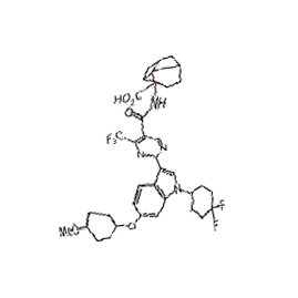 COC1CCC(Oc2ccc3c(-c4ncc(C(=O)NC5(C(=O)O)C6CCC7CC(C6)CC5C7)c(C(F)(F)F)n4)cn(C4CCC(F)(F)CC4)c3c2)CC1